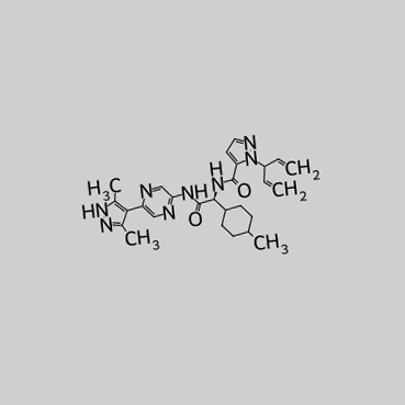 C=CC(C=C)n1nccc1C(=O)N[C@H](C(=O)Nc1cnc(-c2c(C)n[nH]c2C)cn1)C1CCC(C)CC1